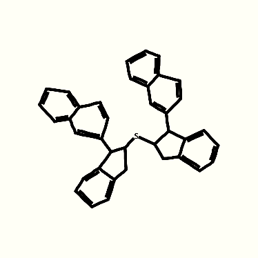 c1ccc2c(c1)CC(SC1Cc3ccccc3C1c1ccc3ccccc3c1)C2c1ccc2ccccc2c1